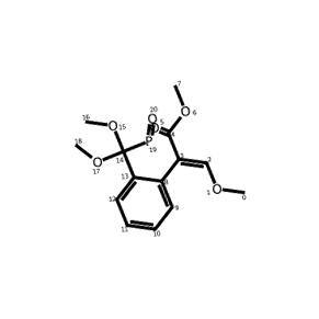 CO/C=C(/C(=O)OC)c1ccccc1C(OC)(OC)P=O